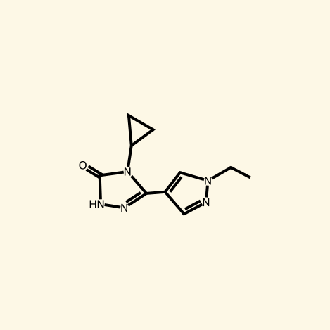 CCn1cc(-c2n[nH]c(=O)n2C2CC2)cn1